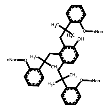 CCCCCCCCCOc1ccccc1C(C)(C)Cc1ccc(O)c(CC(C)(C)c2ccccc2OCCCCCCCCC)c1CC(C)(C)c1ccccc1OCCCCCCCCC